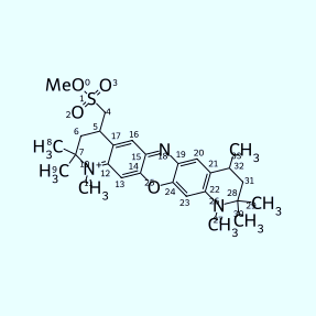 COS(=O)(=O)CC1CC(C)(C)[N+](C)=c2cc3c(cc21)=Nc1cc2c(cc1O3)N(C)C(C)(C)CC2C